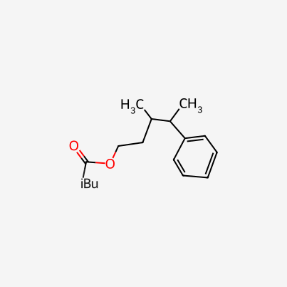 CCC(C)C(=O)OCCC(C)C(C)c1ccccc1